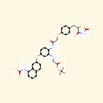 CC(C)(C)OC(=O)CNc1cc(Oc2ccc3cccc(NC(=O)O)c3c2)ccc1NC(=O)COc1ccc(CC2SC(=O)NC2=O)cc1